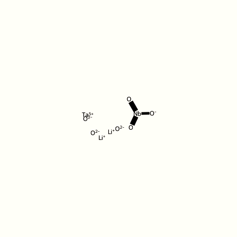 [Li+].[Li+].[O-2].[O-2].[O-2].[O]=[Nb](=[O])[O-].[Ta+5]